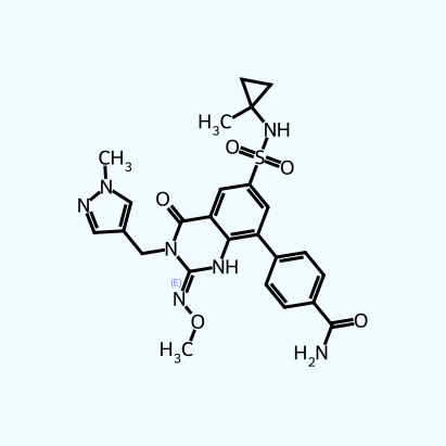 CO/N=c1\[nH]c2c(-c3ccc(C(N)=O)cc3)cc(S(=O)(=O)NC3(C)CC3)cc2c(=O)n1Cc1cnn(C)c1